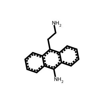 NCCc1c2ccccc2c(N)c2ccccc12